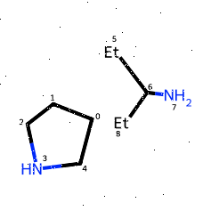 C1CCNC1.CCC(N)CC